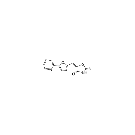 O=C1NC(=S)SC1=Cc1ccc(-c2ccccn2)o1